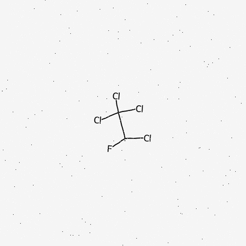 F[C](Cl)C(Cl)(Cl)Cl